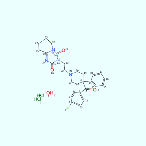 Cl.Cl.O.O=C(c1ccc(F)cc1)C1(c2ccccc2)CCN(CCn2c(=O)nc3n(c2=O)CCCC3)CC1